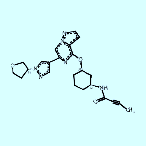 CC#CC(=O)N[C@H]1CCC[C@@H](Oc2nc(-c3cnn([C@@H]4CCOC4)c3)cn3nccc23)C1